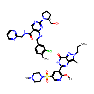 CCOc1ncc(S(=O)(=O)N2CCN(CC)CC2)cc1-c1nc2c(CC)n(CCOC)nc2c(=O)[nH]1.COc1ccc(CNc2nc(N3CCC[C@H]3CO)ncc2C(=O)NCc2ncccn2)cc1Cl